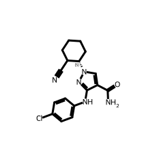 N#CC1CCCC[C@@H]1n1cc(C(N)=O)c(Nc2ccc(Cl)cc2)n1